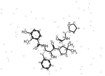 Cc1c(O)cccc1C(=O)N[C@@H](Cc1ccccc1)[C@H](O)C(=O)N1CSC(C)(C)[C@H]1C(=O)NC[C@H]1CCCO1